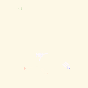 N#CC(Cc1ccc(Cl)cc1)NC(=O)O